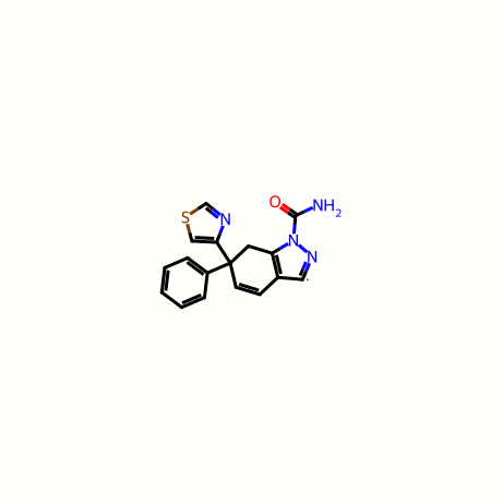 NC(=O)n1n[c]c2c1CC(c1ccccc1)(c1cscn1)C=C2